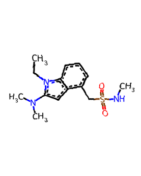 CCn1c(N(C)C)cc2c(CS(=O)(=O)NC)cccc21